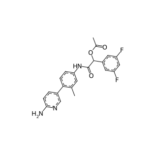 CC(=O)OC(C(=O)Nc1ccc(-c2ccc(N)nc2)c(C)c1)c1cc(F)cc(F)c1